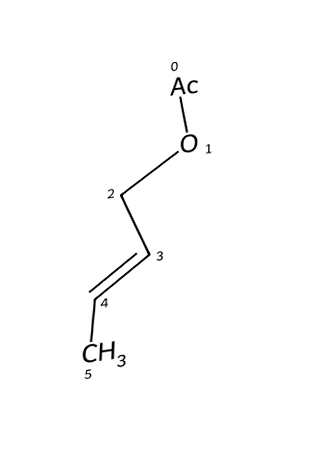 [CH2]C(=O)OCC=CC